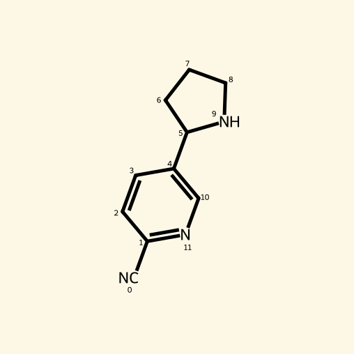 N#Cc1ccc(C2CCCN2)cn1